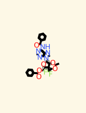 CC(=O)O[C@H]1[C@H](n2cnc3c(NC(=O)c4ccccc4)ncnc32)O[C@H](COC(=O)c2ccccc2)[C@]12CC2(F)F